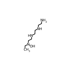 CCN(O)CCNCCNCCN